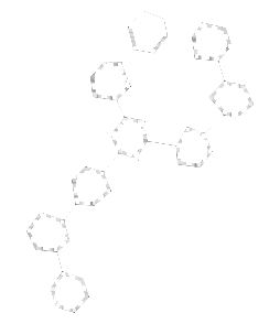 C1=CC(c2cccc(-c3nc(-c4ccc(-c5cccc(-c6ccccc6)c5)cc4)nc(-c4cccc(-c5cccc(-c6ccccc6)c5)c4)n3)c2)=CCC1